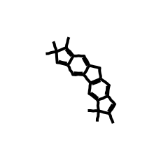 CC1=Cc2cc3c(cc2C1(C)C)-c1cc2c(cc1C3)=C(C)C(C)(C)C=2